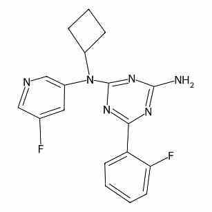 Nc1nc(-c2ccccc2F)nc(N(c2cncc(F)c2)C2CCC2)n1